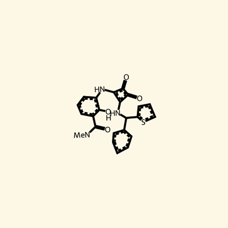 CNC(=O)c1cccc(Nc2c(NC(c3ccccc3)c3cccs3)c(=O)c2=O)c1O